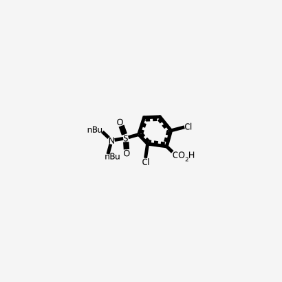 CCCCN(CCCC)S(=O)(=O)c1ccc(Cl)c(C(=O)O)c1Cl